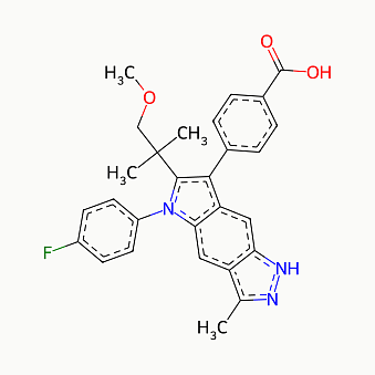 COCC(C)(C)c1c(-c2ccc(C(=O)O)cc2)c2cc3[nH]nc(C)c3cc2n1-c1ccc(F)cc1